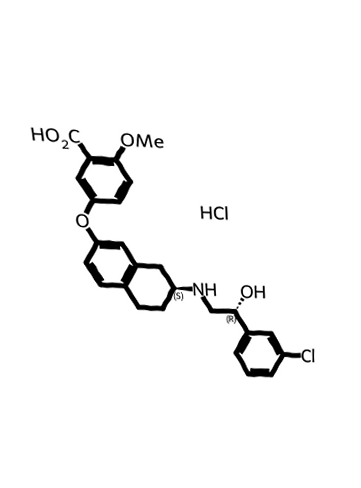 COc1ccc(Oc2ccc3c(c2)C[C@@H](NC[C@H](O)c2cccc(Cl)c2)CC3)cc1C(=O)O.Cl